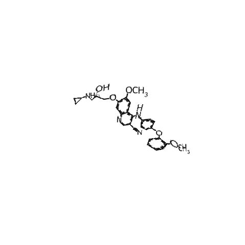 COc1cc2c(Nc3ccc(Oc4ccccc4OC)cc3)c(C#N)cnc2cc1OC[C@@H](O)CNC1CC1